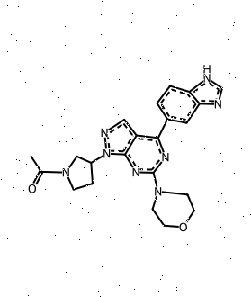 CC(=O)N1CCC(n2ncc3c(-c4ccc5[nH]cnc5c4)nc(N4CCOCC4)nc32)C1